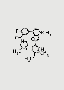 C\C=C(/C=C\C(=C/C)C1=CC2C(=C(c3ccc(F)c(C(=O)N4CCSC(C)C4)c3)C=CN2C)O1)SC